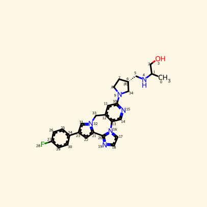 CC(CO)NC[C@H]1CCN(c2cc3c(cn2)-n2ccnc2-c2cc(-c4ccc(F)cc4)cn2C3)C1